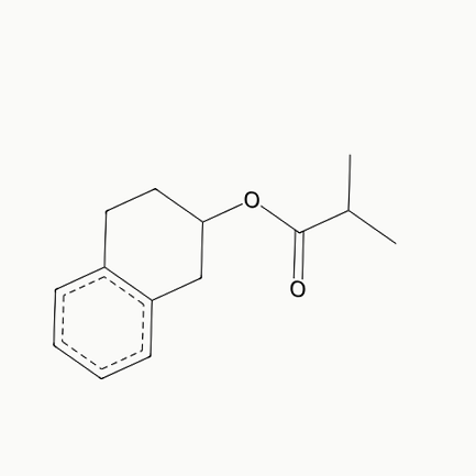 CC(C)C(=O)OC1CCc2ccccc2C1